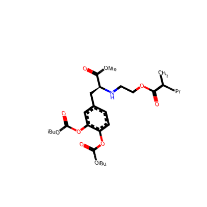 COC(=O)[C@H](Cc1ccc(OC(=O)OCC(C)C)c(OC(=O)OCC(C)C)c1)NCCOC(=O)C(C)C(C)C